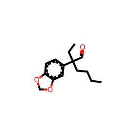 CCCCC(C=O)(CC)c1ccc2c(c1)OCO2